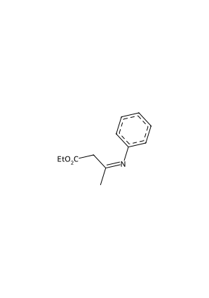 CCOC(=O)CC(C)=Nc1ccccc1